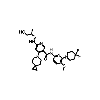 CSc1ccc(NC(=O)c2cnc(NS[C@H](C)CO)cc2N2CCC3(CC2)CC3)nc1N1CCC(F)(F)CC1